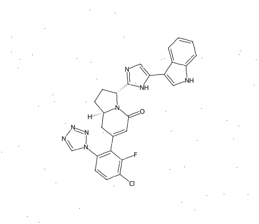 O=C1C=C(c2c(-n3cnnn3)ccc(Cl)c2F)C[C@H]2CC[C@H](c3ncc(-c4c[nH]c5ccccc45)[nH]3)N12